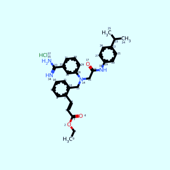 CCOC(=O)C=Cc1ccccc1CN(CC(=O)Nc1ccc(C(C)C)cc1)c1cccc(C(=N)N)c1.Cl